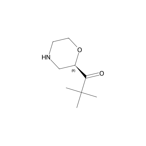 CC(C)(C)C(=O)[C@H]1CNCCO1